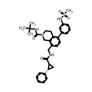 CC(C)(C)NC(=O)N1CCc2c(-c3cccc(NS(C)(=O)=O)c3)ccc(CNC(=O)C3C[C@@H]3c3ccccc3)c2C1